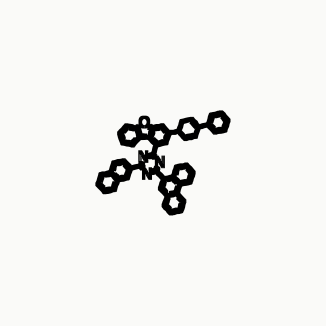 C1=CC(c2cc(-c3nc(-c4ccc5ccccc5c4)nc(-c4cc5ccccc5c5ccccc45)n3)c3c(c2)oc2ccccc23)CC=C1c1ccccc1